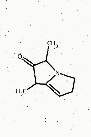 CC1C(=O)C(C)N2CCC=C12